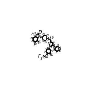 O=C(c1cc(-c2cccnc2)n(-c2ccc(OC(F)(F)F)c(F)c2)n1)N1CCC(n2c(=O)[nH]c3ccc(F)c(F)c32)CC1